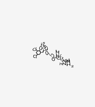 CC(=O)N[C@@H](CCCNC(=N)N)C(=O)OCCOC(=O)C1=Cc2cc(Cl)cc(Cl)c2OC1C(F)(F)F